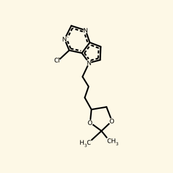 CC1(C)OCC(CCCn2ccc3ncnc(Cl)c32)O1